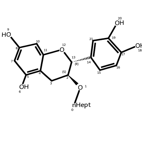 CCCCCCCO[C@H]1Cc2c(O)cc(O)cc2O[C@@H]1c1ccc(O)c(O)c1